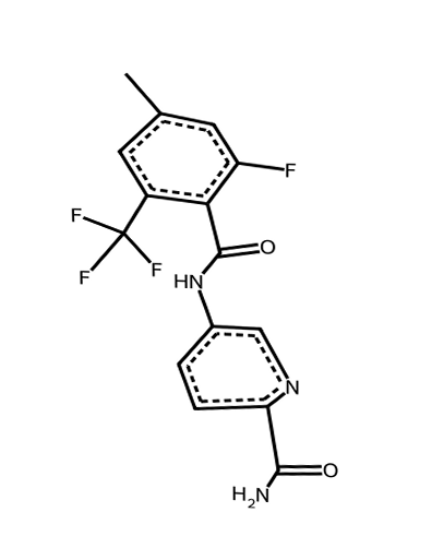 Cc1cc(F)c(C(=O)Nc2ccc(C(N)=O)nc2)c(C(F)(F)F)c1